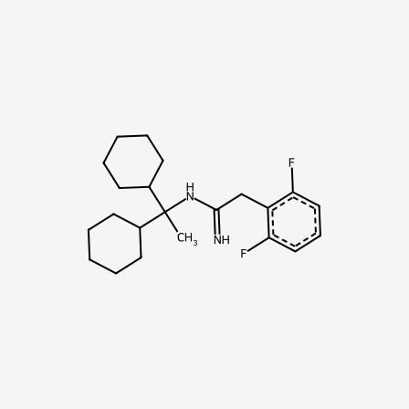 CC(NC(=N)Cc1c(F)cccc1F)(C1CCCCC1)C1CCCCC1